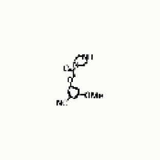 COc1cc(C#N)cc(OCC(=O)N2CCNCC2)c1